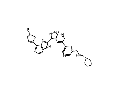 Fc1ccc(-c2nccc3[nH]c(-c4n[nH]c5ncc(-c6cncc(CNCC7CCCC7)c6)cc45)nc23)s1